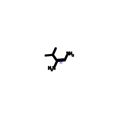 CC(C)/C(N)=C\N